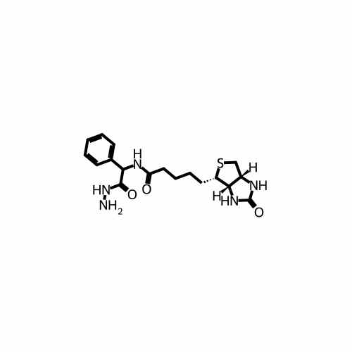 NNC(=O)C(NC(=O)CCCC[C@@H]1SC[C@@H]2NC(=O)N[C@@H]21)c1ccccc1